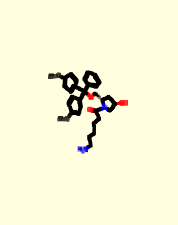 COc1ccc(C(OC[C@@H]2C[C@H](O)CN2C(=O)CCCCCN)(c2ccccc2)c2ccc(OC)cc2)cc1